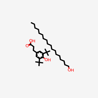 CC(C)(C)c1cc(CCC(=O)O)cc(C(C)(C)C)c1O.CCCCCCCCCCCCCCCCCCO